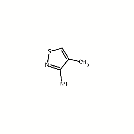 Cc1csnc1[NH]